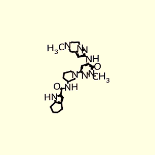 CN1CCn2nc(Nc3cc(N4CCCC(NC(=O)c5cc6c([nH]5)CCCC6)C4)nn(C)c3=O)cc2C1